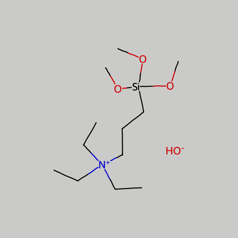 CC[N+](CC)(CC)CCC[Si](OC)(OC)OC.[OH-]